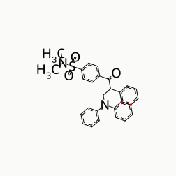 CN(C)S(=O)(=O)c1ccc(C(=O)C(CN(c2ccccc2)c2ccccc2)c2ccccc2)cc1